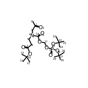 CC(=O)CN(CCC(=O)OC(C)(C)C)C(=O)OCOP(=O)(OC(C)(C)C)OC(C)(C)C